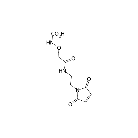 O=C(O)NOCC(=O)NCCN1C(=O)C=CC1=O